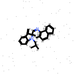 C=C1c2ccccc2N(CC(C)C)C1(C)/C=N\c1c(C)ccc2ccccc12